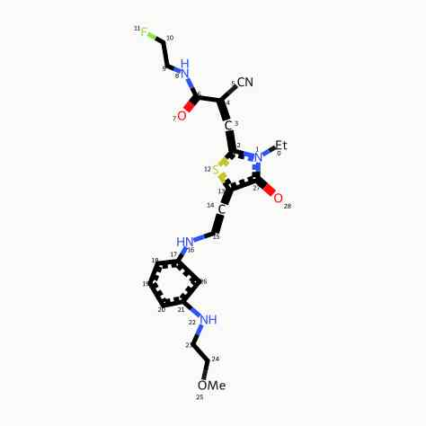 CCn1c(=C=C(C#N)C(=O)NCCF)sc(=C=CNc2cccc(NCCOC)c2)c1=O